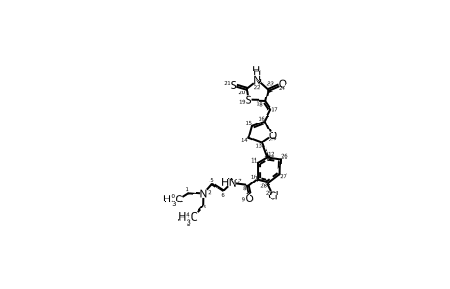 CCN(CC)CCNC(=O)c1cc(C2CC=C(/C=C3\SC(=S)NC3=O)O2)ccc1Cl